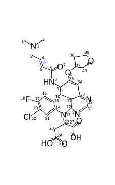 CN(C)C/C=C/C(=O)Nc1cc2c(N(c3ccc(F)c(Cl)c3)C(CC(=O)O)C(=O)O)ncnc2cc1OC1CCOC1